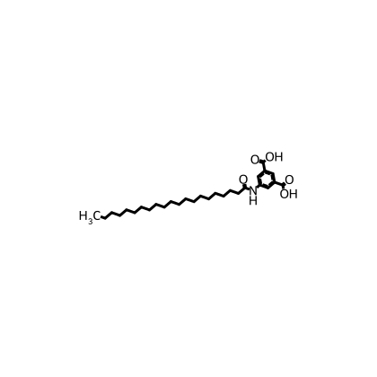 CCCCCCCCCCCCCCCCCCCCC(=O)Nc1cc(C(=O)O)cc(C(=O)O)c1